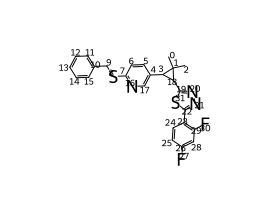 CC1(C)C(c2ccc(SCc3ccccc3)nc2)C1c1nnc(-c2ccc(F)cc2F)s1